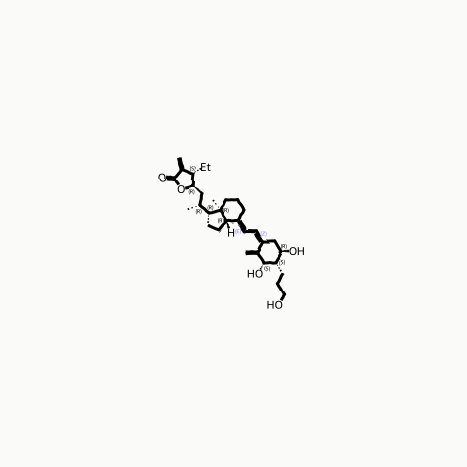 C=C1/C(=C\C=C2/CCC[C@]3(C)[C@@H]([C@H](C)C[C@H]4OC(=O)C(=C)[C@@H]4CC)CC[C@@H]23)C[C@@H](O)[C@H](CCCO)[C@@H]1O